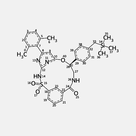 Cc1cccc(C)c1-c1cc2nc(n1)NS(=O)(=O)c1cccc(c1)C(=O)NC[C@H](c1ccc(C[Si](C)(C)C)cc1)O2